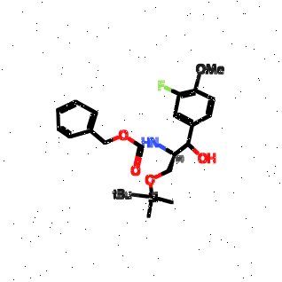 COc1ccc(C(O)[C@@H](CO[Si](C)(C)C(C)(C)C)NC(=O)OCc2ccccc2)cc1F